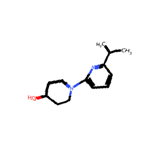 CC(C)c1cccc(N2CCC(O)CC2)n1